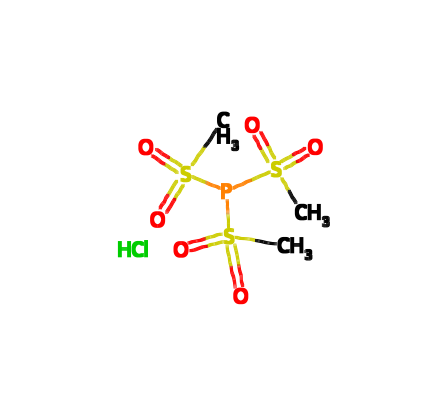 CS(=O)(=O)P(S(C)(=O)=O)S(C)(=O)=O.Cl